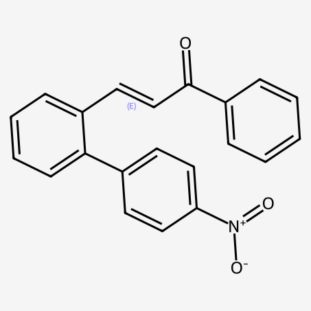 O=C(/C=C/c1ccccc1-c1ccc([N+](=O)[O-])cc1)c1ccccc1